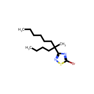 CCCCCCC(C)(CCCC)c1nsc(Br)n1